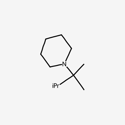 CC(C)C(C)(C)N1CCCCC1